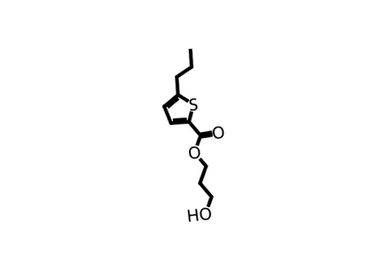 CCCc1ccc(C(=O)OCCCO)s1